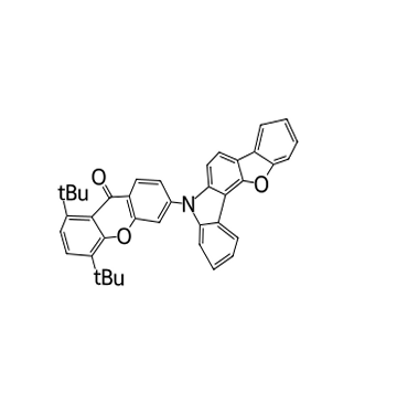 CC(C)(C)c1ccc(C(C)(C)C)c2c(=O)c3ccc(-n4c5ccccc5c5c6oc7ccccc7c6ccc54)cc3oc12